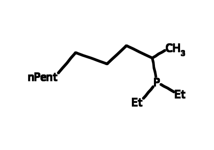 CCCCCCCCC(C)P(CC)CC